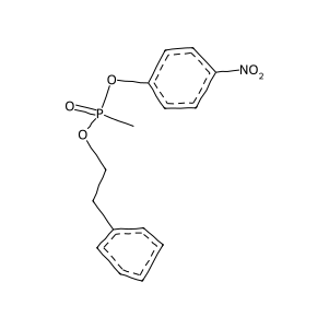 CP(=O)(OCCc1ccccc1)Oc1ccc([N+](=O)[O-])cc1